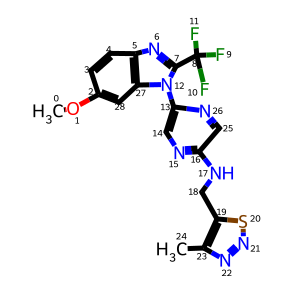 COc1ccc2nc(C(F)(F)F)n(-c3cnc(NCc4snnc4C)cn3)c2c1